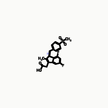 CC1=C(CC(=O)O)c2cc(F)cc(F)c2/C1=C\c1ccc(S(C)(=O)=O)cc1